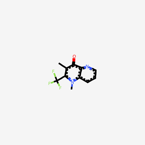 Cc1c(C(F)(F)F)n(C)c2cccnc2c1=O